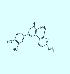 Cc1cc(N)ccc1C1=C(N)NCC(c2ccc(O)c(O)c2)=C1